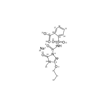 CCCOc1nn(C(=O)NS(=O)(=O)c2ccccc2C(=O)[O-])c(=O)n1C.[Na+]